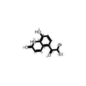 CCC(Br)C(=O)c1ccc(O)c2[nH]c(=O)ccc12